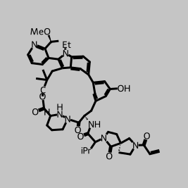 C=CC(=O)N1CC[C@]2(CCN(C(C(=O)N[C@H]3Cc4cc(O)cc(c4)-c4ccc5c(c4)c(c(-c4cccnc4[C@H](C)OC)n5CC)CC(C)(C)COC(=O)[C@@H]4CCCN(N4)C3=O)C(C)C)C2=O)C1